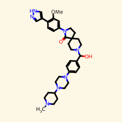 COc1cc(N2CCC3(CCN(C(O)c4ccc(N5CCN(C6CCN(C)CC6)CC5)cc4)CC3)C2=O)ccc1-c1cn[nH]c1